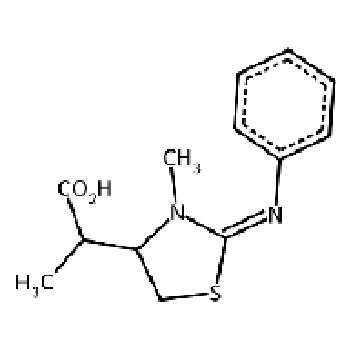 CC(C(=O)O)C1CSC(=Nc2ccccc2)N1C